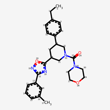 CCc1ccc(C2CC(c3nc(-c4cccc(C)c4)no3)CN(C(=O)N3CCOCC3)C2)cc1